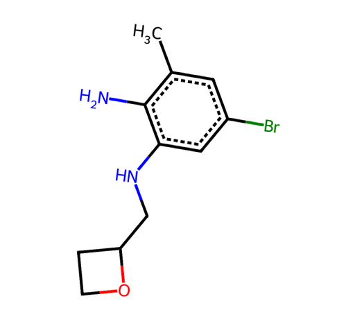 Cc1cc(Br)cc(NCC2CCO2)c1N